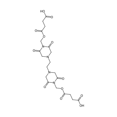 O=C(O)CCC(=O)OCN1C(=O)CN(CCN2CC(=O)N(COC(=O)CCC(=O)O)C(=O)C2)CC1=O